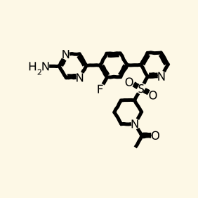 CC(=O)N1CCCC(S(=O)(=O)c2ncccc2-c2ccc(-c3cnc(N)cn3)c(F)c2)C1